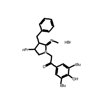 Br.CCCC1CN(CC(=O)c2cc(C(C)(C)C)c(O)c(C(C)(C)C)c2)/C(=N\C)C1Cc1ccccc1